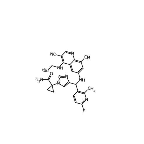 Cc1nc(F)ccc1C(Nc1cc(C#N)c2ncc(C#N)c(NCC(C)(C)C)c2c1)c1cn(C2(C(N)=O)CC2)nn1